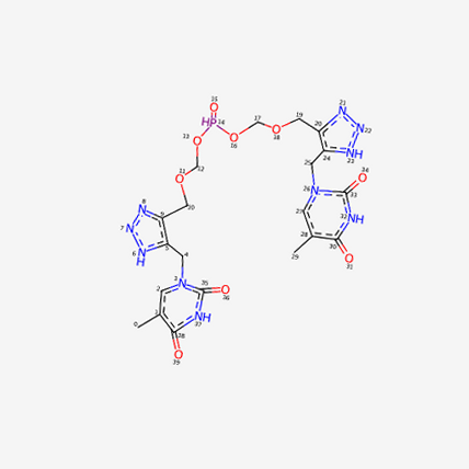 Cc1cn(Cc2[nH]nnc2COCO[PH](=O)OCOCc2nn[nH]c2Cn2cc(C)c(=O)[nH]c2=O)c(=O)[nH]c1=O